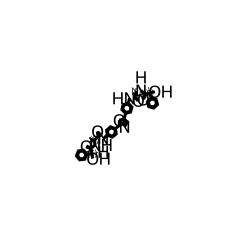 C[C@H](NC(=O)[C@@](C)(O)c1ccccc1)C(=O)Nc1ccc(-c2cnc(-c3ccc(NC(=O)[C@H](C)NC(=O)[C@@](C)(O)c4ccccc4)cc3)o2)cc1